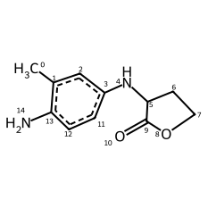 Cc1cc(NC2CCOC2=O)ccc1N